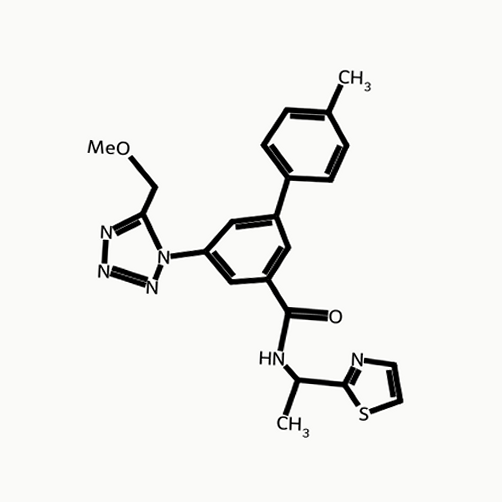 COCc1nnnn1-c1cc(C(=O)NC(C)c2nccs2)cc(-c2ccc(C)cc2)c1